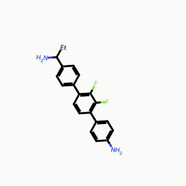 CCC(N)c1ccc(-c2ccc(-c3ccc(N)cc3)c(F)c2F)cc1